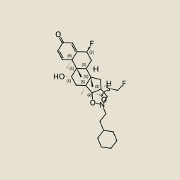 C[C@]12[C@@H](C[C@H](F)C3=CC(=O)C=C[C@@]31C)[C@]1(C)C[C@H]3CN(CCC4CCCCC4)O[C@@]3(C(=O)SCF)[C@@]1(C)C[C@@H]2O